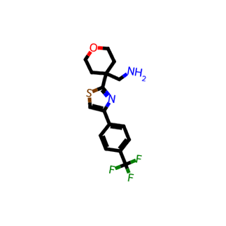 NCC1(c2nc(-c3ccc(C(F)(F)F)cc3)cs2)CCOCC1